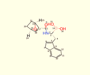 O=C(N[C@@H](CC1=CCc2ccccc21)B(O)O)[C@@H]1C[C@H]2CC[C@@H]1O2